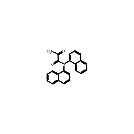 NC(=O)C(=O)N(c1cccc2ccccc12)c1cccc2ccccc12